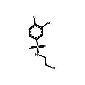 Nc1cc(S(=O)(=O)NCCO)ccc1O